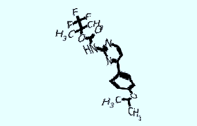 CC(C)Oc1ccc(-c2ccnc(NC(=O)OC(C)(C)C(F)(F)F)n2)cc1